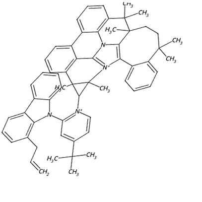 C=CCc1cccc2c3ccccc3n(-c3cc(C(C)(C)C)cc[n+]3C3C4(C)c5cccc6c7cccc8c7n7c9c([n+](c7c56)C34C)-c3ccccc3C(C)(C)CCC9(C)C8(C)C)c12